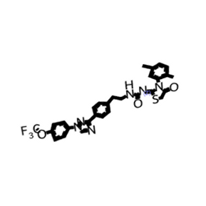 Cc1ccc(C)c(N2C(=O)CS/C2=N\C(=O)NCCc2ccc(-c3ncn(-c4ccc(OC(F)(F)F)cc4)n3)cc2)c1